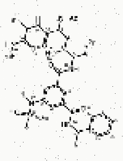 CC(=O)NC(CC(O)C(CC(C)C)NC(=O)c1cc(C(=O)NC(C)c2ccccc2)cc(N(C)S(C)(=O)=O)c1)C(=O)NC(C(=O)NC(C)C)C(C)C